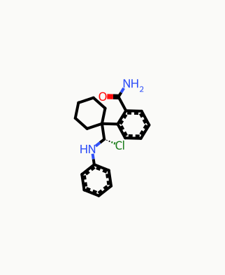 NC(=O)c1ccccc1C1([C@H](Cl)Nc2ccccc2)CCCCC1